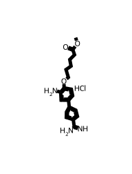 COC(=O)CCCCCOc1ccc(-c2ccc(C(=N)N)cc2)cc1N.Cl